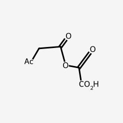 CC(=O)CC(=O)OC(=O)C(=O)O